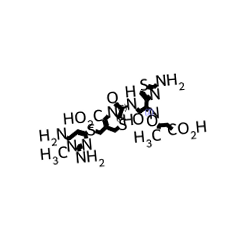 CC(CC(=O)O)O/N=C(\C(=O)N[C@@H]1C(=O)N2C(C(=O)O)=C(CSC3=CC(N)N(C)C(N)=N3)CS[C@H]12)c1csc(N)n1